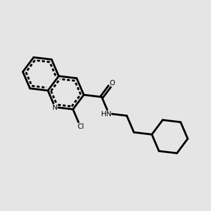 O=C(NCCC1CCCCC1)c1cc2ccccc2nc1Cl